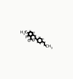 CCCC1CCC(C2Cc3ccc(C)c(F)c3C(=O)O2)CC1